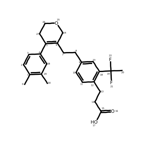 Cc1ccc(C2=C(CCc3ccc(CCC(=O)O)c(C(C)(F)F)c3)COCC2)cc1C